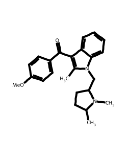 COc1ccc(C(=O)c2c(C)n(CC3CCC(C)N3C)c3ccccc23)cc1